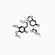 C=CC(C)[C@@H]1C[C@@]2(C(C)Cc3cc(O)c(OC)cc3F)OCOC2=CC1=O